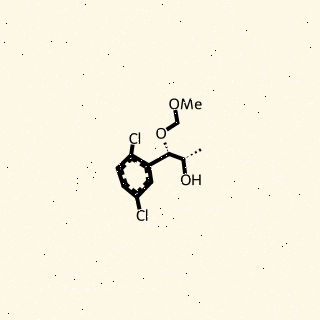 COCO[C@@H](c1cc(Cl)ccc1Cl)[C@H](C)O